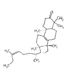 CCC(C)=CCC[C@@H](C)[C@H]1CC[C@@]2(C)C3=C(CC[C@]12C)[C@@]1(C)CCC(=O)C(C)(C)C1CC3